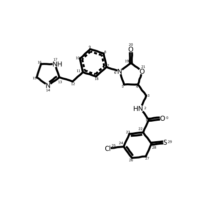 O=C(NCC1CN(c2cccc(CC3=NCCN3)c2)C(=O)O1)C1=CC(Cl)=CCC1=S